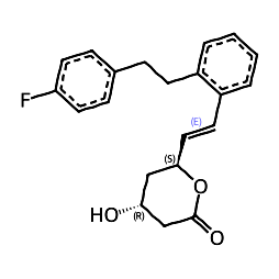 O=C1C[C@H](O)C[C@@H](/C=C/c2ccccc2CCc2ccc(F)cc2)O1